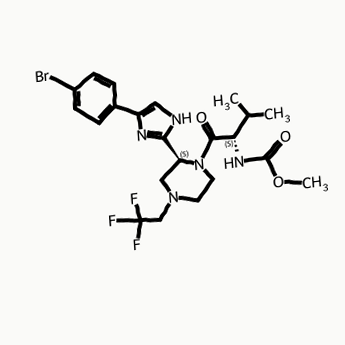 COC(=O)N[C@H](C(=O)N1CCN(CC(F)(F)F)C[C@H]1c1nc(-c2ccc(Br)cc2)c[nH]1)C(C)C